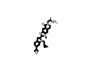 C[C@@H](N)CN1CCc2cc3c(cc2C1=O)nc(-c1cc2ccc(C4COC4)cc2n1CC1CC1)n3C